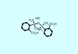 C[Si](C)(O[Si](C)(C)c1ccccc1C(=O)O)c1ccccc1C(=O)O.Cl